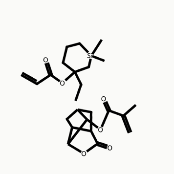 C=C(C)C(=O)OC1C2CC3C(=O)OC1C3C2.C=CC(=O)OC1(CC)CCC[Si](C)(C)C1